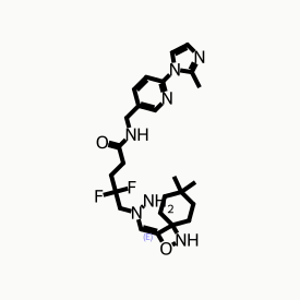 Cc1nccn1-c1ccc(CNC(=O)CCC(F)(F)CN(N)/C=C2/ONC23CCC(C)(C)CC3)cn1